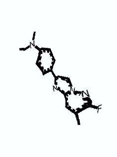 Cc1cc2nc(-c3ccc(N(C)C)cc3)cn2nc1F